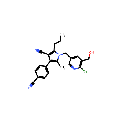 CCCc1c(C#N)c(-c2ccc(C#N)cc2)c(C)n1Cc1cnc(Cl)c(CO)c1